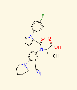 CCC(C(=O)O)N(C(=O)c1cccn1-c1ccc(F)cc1)c1ccc(N2CCCCC2)c(C#N)c1